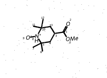 COC(=O)C1CC(C)(C)[NH+]([O-])C(C)(C)C1